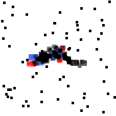 CCOC(=O)CCCCn1c(=O)c2nc(-c3ccc(C(=N)NO)cc3)n(C)c2n(C)c1=O